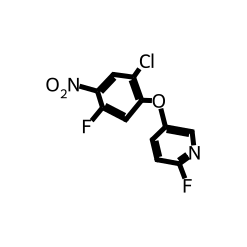 O=[N+]([O-])c1cc(Cl)c(Oc2ccc(F)nc2)cc1F